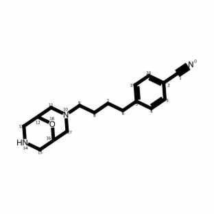 N#Cc1ccc(CCCCN2CC3CNCC(C2)O3)cc1